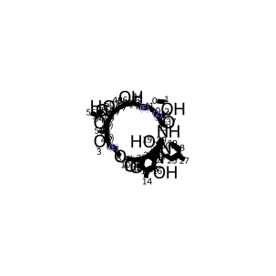 CCO.CO[C@H]1/C=C/O[C@@]2(C)Oc3c(C)c(O)c4c(O)c(c5c(nc6cc(C)ccn65)c4c3C2=O)NC(=O)/C(C)=C\C=C\[C@H](C)[C@H](O)[C@@H](C)[C@@H](O)[C@@H](C)[C@H](OC(C)=O)[C@@H]1C